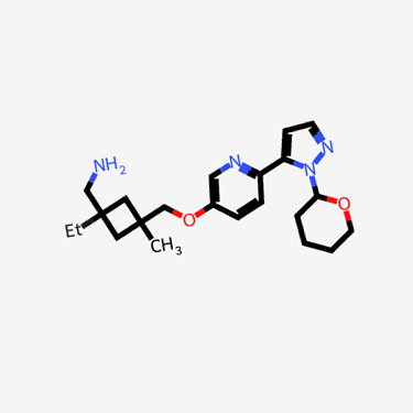 CCC1(CN)CC(C)(COc2ccc(-c3ccnn3C3CCCCO3)nc2)C1